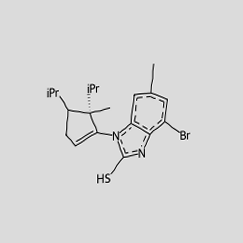 Cc1cc(Br)c2nc(S)n(C3=CCC(C(C)C)[C@]3(C)C(C)C)c2c1